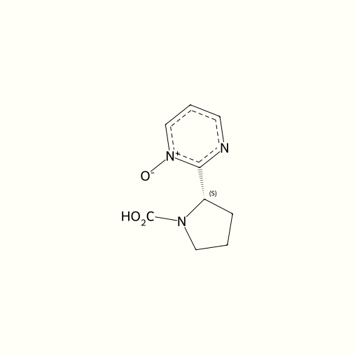 O=C(O)N1CCC[C@H]1c1nccc[n+]1[O-]